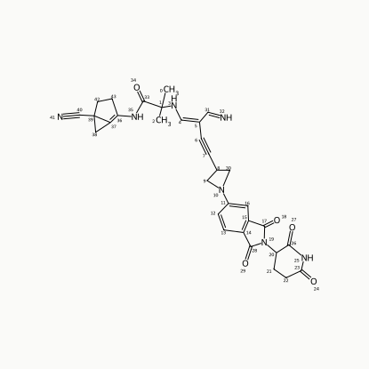 CC(C)(N/C=C(/C#CC1CN(c2ccc3c(c2)C(=O)N(C2CCC(=O)NC2=O)C3=O)C1)C=N)C(=O)NC1=C2CC2(C#N)CC1